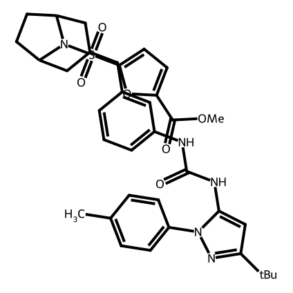 COC(=O)c1ccc(S(=O)(=O)N2C3CCC2CC(Cc2cccc(NC(=O)Nc4cc(C(C)(C)C)nn4-c4ccc(C)cc4)c2)C3)o1